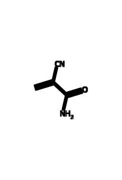 C=C(C#N)C(N)=O